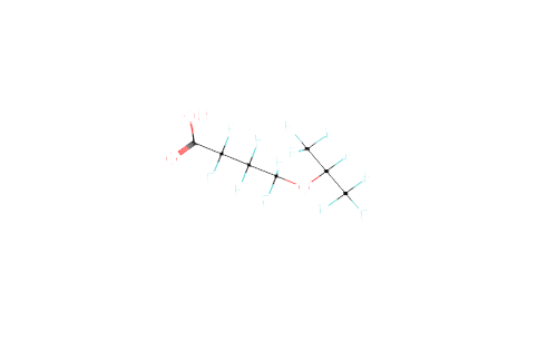 O=C(O)C(F)(F)C(F)(F)C(F)(F)OC(F)(C(F)(F)F)C(F)(F)F